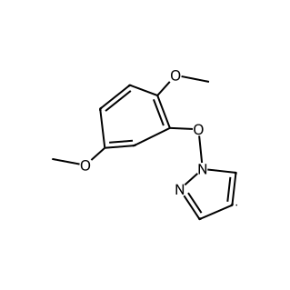 COc1ccc(OC)c(On2c[c]cn2)c1